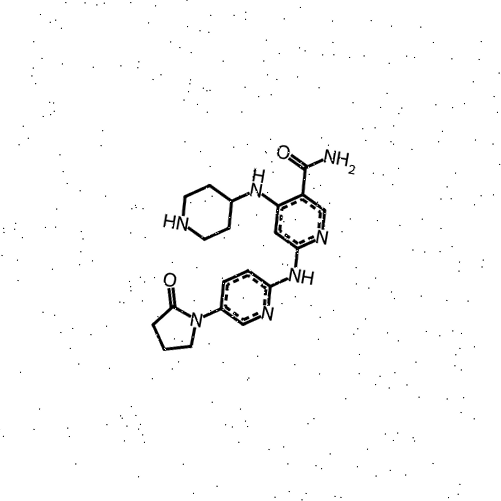 NC(=O)c1cnc(Nc2ccc(N3CCCC3=O)cn2)cc1NC1CCNCC1